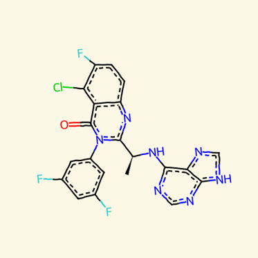 C[C@H](Nc1ncnc2[nH]cnc12)c1nc2ccc(F)c(Cl)c2c(=O)n1-c1cc(F)cc(F)c1